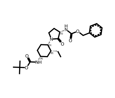 CC[C@@H]1C[C@H](NC(=O)OC(C)(C)C)CC[C@@H]1N1CC[C@H](NC(=O)OCc2ccccc2)C1=O